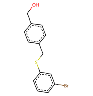 OCc1[c]cc(CSc2cccc(Br)c2)cc1